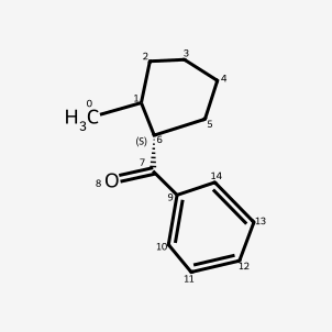 CC1CCCC[C@@H]1C(=O)c1ccccc1